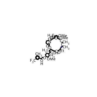 CCC1/C=C(\C)CC(C)CC(OC)C2OC(O)(C(=O)C(=O)N3CCCCC3C(=O)OC(C(C)=CC3CCC(OCC(O)c4cc(C)cc(C(F)(F)F)c4)C(OC)C3)C(C)C(O)CC1=O)C(C)CC2OC